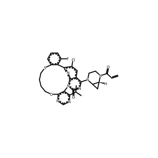 C=CC(=O)N1CCN(c2nc(=O)n3c4nc(c(Cl)cc24)-c2c(F)cccc2SCCCCOc2ncnc(C(C)C)c2-3)C2C[C@H]21